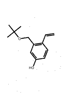 C=Cc1ccc(O)cc1COC(C)(C)C